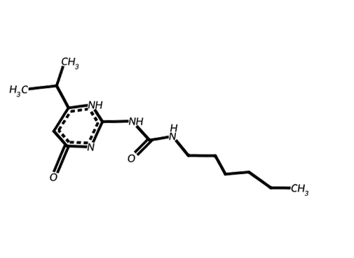 CCCCCCNC(=O)Nc1nc(=O)cc(C(C)C)[nH]1